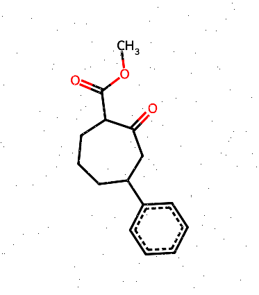 COC(=O)C1CCCC(c2ccccc2)CC1=O